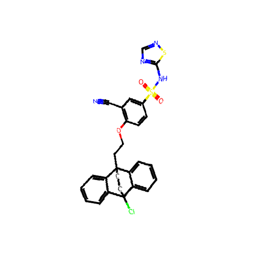 N#Cc1cc(S(=O)(=O)Nc2ncns2)ccc1OCCC12CCC(Cl)(c3ccccc31)c1ccccc12